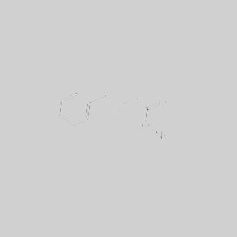 O=C(OOCc1ccccc1)O[N+](=O)[O-]